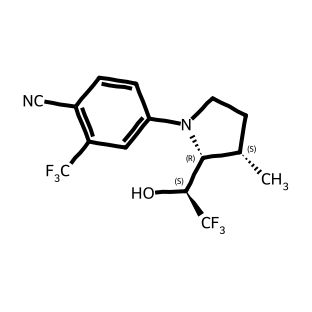 C[C@H]1CCN(c2ccc(C#N)c(C(F)(F)F)c2)[C@H]1[C@H](O)C(F)(F)F